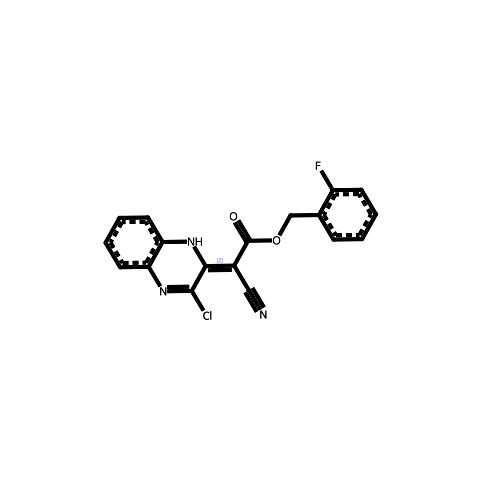 N#C/C(C(=O)OCc1ccccc1F)=C1/Nc2ccccc2N=C1Cl